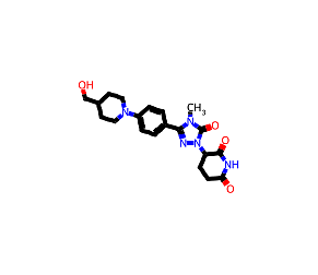 Cn1c(-c2ccc(N3CCC(CO)CC3)cc2)nn(C2CCC(=O)NC2=O)c1=O